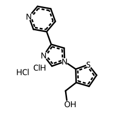 Cl.Cl.OCc1ccsc1-n1cnc(-c2cccnc2)c1